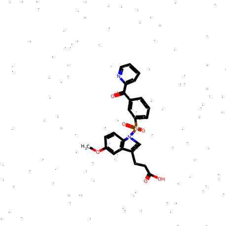 COc1ccc2c(c1)c(CCC(=O)O)cn2S(=O)(=O)c1cccc(C(=O)c2ccccn2)c1